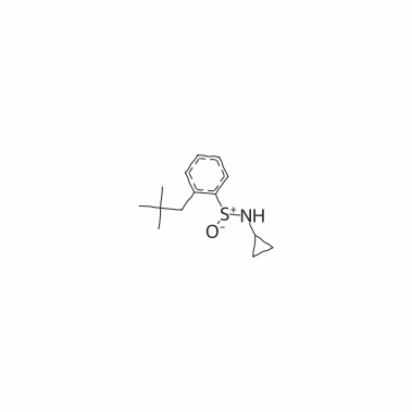 CC(C)(C)Cc1ccccc1[S+]([O-])NC1CC1